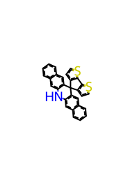 c1ccc2cc3c(cc2c1)Nc1cc2ccccc2cc1C31c2ccsc2-c2sccc21